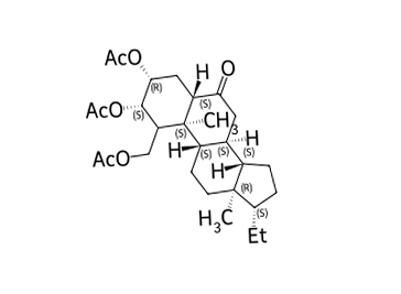 CC[C@H]1CC[C@H]2[C@@H]3CC(=O)[C@H]4C[C@@H](OC(C)=O)[C@@H](OC(C)=O)C(COC(C)=O)[C@]4(C)[C@H]3CC[C@]12C